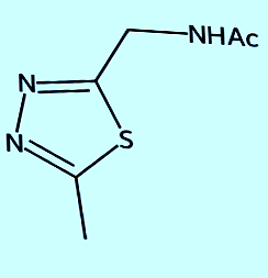 CC(=O)NCc1nnc(C)s1